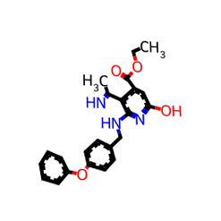 CCOC(=O)c1cc(O)nc(NCc2ccc(Oc3ccccc3)cc2)c1C(C)=N